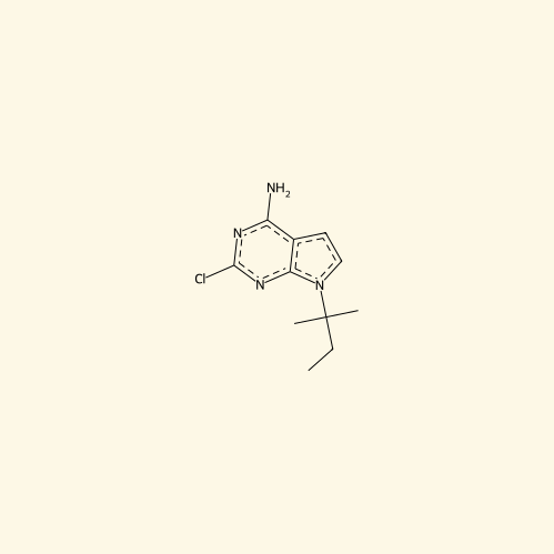 CCC(C)(C)n1ccc2c(N)nc(Cl)nc21